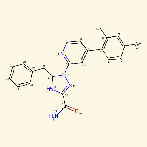 CC(=O)c1ccc(-c2ccnc(N3N=C(C(N)=O)NC3Cc3ccccc3)c2)c(C)c1